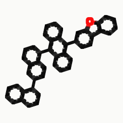 c1ccc2c(-c3ccc4c(-c5c6ccccc6c(-c6ccc7c(c6)oc6ccccc67)c6ccccc56)cccc4c3)cccc2c1